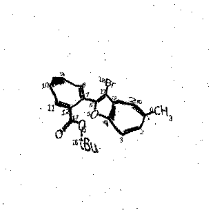 Cc1ccc2oc(-c3ccccc3C(=O)OC(C)(C)C)c(Br)c2c1